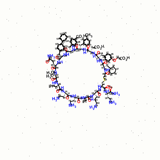 Cc1cccc(C[C@@H]2NC(=O)[C@H](CC(=O)O)NC(=O)[C@H](Cc3ccc(OCC(=O)O)cc3)NC(=O)[C@H](CC3CCCCC3)NC(=O)CSC[C@@H](C(=O)N[C@@H](CCN)C(N)=O)NC(=O)[C@H](CCCN)NC(=O)[C@H](C(C)C)NC(=O)[C@H](CCN)NC(=O)[C@H](CCN)NC(=O)[C@@H](CC(C)C)NC(=O)[C@H](C)N(C)C(=O)[C@H](CCC(N)=O)NC(=O)[C@H](Cc3ccc(-c4ccccc4)cc3)NC(=O)[C@H](Cc3ccc(C(=O)O)cc3)NC2=O)c1